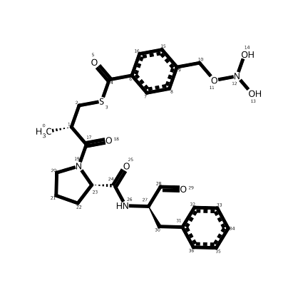 C[C@H](CSC(=O)c1ccc(CON(O)O)cc1)C(=O)N1CCC[C@H]1C(=O)N[C@@H](C=O)Cc1ccccc1